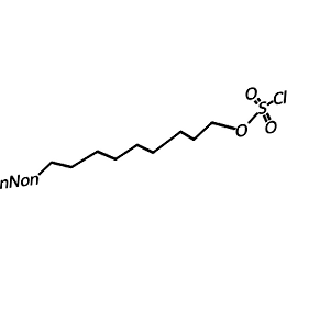 CCCCCCCCCCCCCCCCCCOS(=O)(=O)Cl